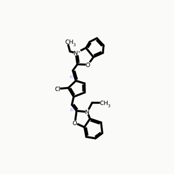 CCN1/C(=C\C2=C(Cl)C(=C/c3oc4ccccc4[n+]3CC)/C=C2)Oc2ccccc21